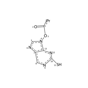 CC(C)C(=O)On1cnc2cnc(S)nc21